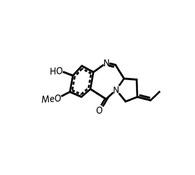 C/C=C1\CC2C=Nc3cc(O)c(OC)cc3C(=O)N2C1